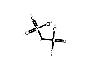 O=P(Cl)(Cl)CS(=O)(=O)Cl